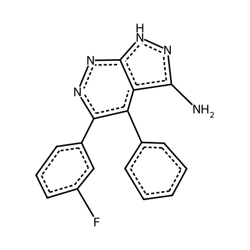 Nc1n[nH]c2nnc(-c3cccc(F)c3)c(-c3ccccc3)c12